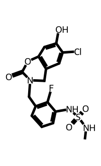 CNS(=O)(=O)Nc1cccc(CN2Cc3cc(Cl)c(O)cc3OC2=O)c1F